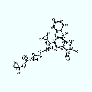 Cc1nn2c(=O)n(Cc3ccccc3)c(C(NCCCNC(=O)OC(C)(C)C)C3CC3)cc2c1Cl